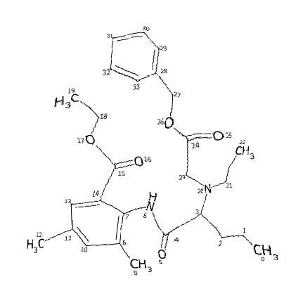 CCCC(C(=O)Nc1c(C)cc(C)cc1C(=O)OCC)N(CC)CC(=O)OCc1ccccc1